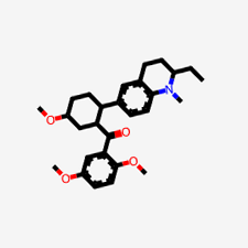 CCC1CCc2cc(C3CCC(OC)CC3C(=O)c3cc(OC)ccc3OC)ccc2N1C